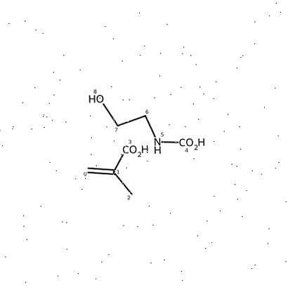 C=C(C)C(=O)O.O=C(O)NCCO